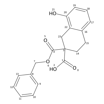 O=C(O)C1(C(=O)OCc2ccccc2)CCc2cccc(O)c2C1